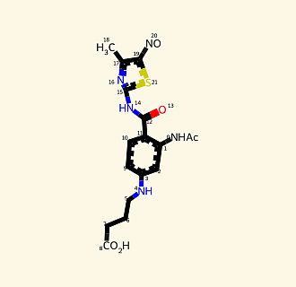 CC(=O)Nc1cc(NCCCC(=O)O)ccc1C(=O)Nc1nc(C)c(N=O)s1